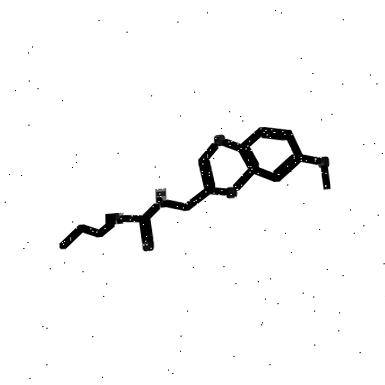 CCCNC(=O)NCC1=COc2ccc(OC)cc2O1